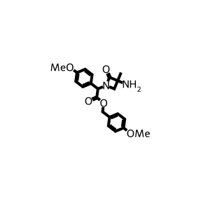 COc1ccc(COC(=O)C(c2ccc(OC)cc2)N2CC(C)(N)C2=O)cc1